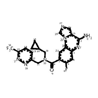 Nc1nc2cc(F)c(C(=O)N(Cc3ccc(C(F)(F)F)nn3)CC3CC3)cc2n2cncc12